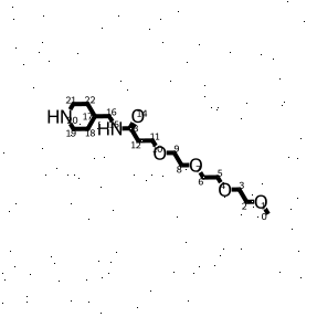 COCCOCCOCCOCCC(=O)NCC1CCNCC1